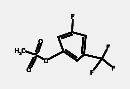 CS(=O)(=O)Oc1cc(F)cc(C(F)(F)F)c1